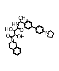 C[C@@H](NC(=O)[C@H](O)[C@@H](O)C(=O)N1CCc2ccccc2C1)c1ccc(-c2ccc(N3CCCC3)cc2)cc1